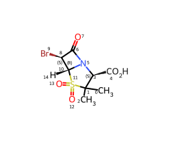 CC1(C)[C@H](C(=O)O)N2C(=O)[C@H](Br)[C@H]2S1(=O)=O